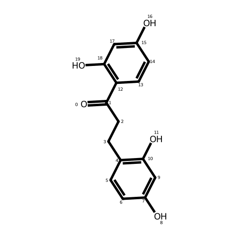 O=C(CCc1ccc(O)cc1O)c1ccc(O)cc1O